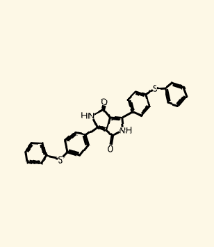 O=C1NC(c2ccc(Sc3ccccc3)cc2)=C2C(=O)NC(c3ccc(Sc4ccccc4)cc3)=C12